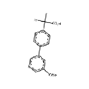 COc1cncc(-c2ccc(C(C)(C(=O)O)C(C)C)cc2)c1